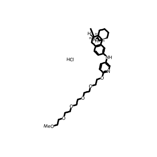 COCCOCCOCCOCCOCCOc1ccc(Nc2ccc3c(c2)[C@@]24CCCC[C@H]2[C@@H](C3)N(C)CC4)cn1.Cl